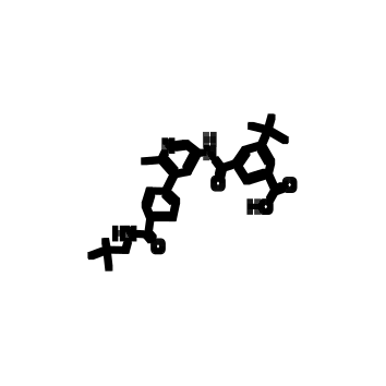 Cc1ncc(NC(=O)c2cc(C(=O)O)cc(C(C)(C)C)c2)cc1-c1ccc(C(=O)NCC(C)(C)C)cc1